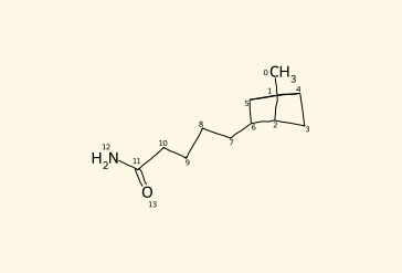 CC12C3CC1C2C3CCCCC(N)=O